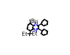 CCC(C)(CC)c1ccc(C(C)(C)C)c2nc(-c3ccccc3)c(-c3ccccc3)nc12